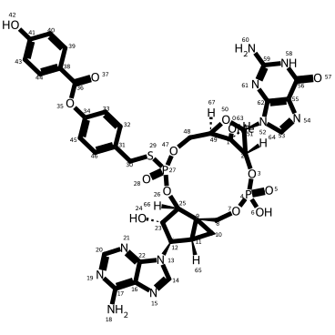 CO[C@H]1[C@H]2OP(=O)(O)OC[C@@]34C[C@@H]3[C@@H](n3cnc5c(N)ncnc53)[C@H](O)[C@@H]4OP(=O)(SCc3ccc(OC(=O)c4ccc(O)cc4)cc3)OC[C@H]1O[C@H]2n1cnc2c(=O)[nH]c(N)nc21